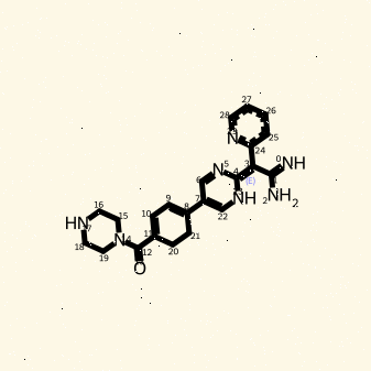 N=C(N)/C(=C1/N=CC(C2=CC=C(C(=O)N3CCNCC3)CC2)=CN1)c1ccccn1